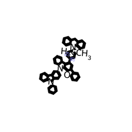 CC(C)/C=C(\C=C/CN1c2ccccc2Cc2ccccc21)c1cc2c(oc3ccccc32)c2c1C1C=CC=CC1N2c1ccc2c(c1)c1ccccc1n2-c1ccccc1